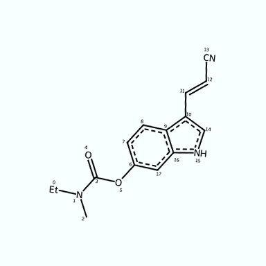 CCN(C)C(=O)Oc1ccc2c(/C=C/C#N)c[nH]c2c1